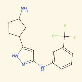 NC1CCC(c2cc(Nc3cccc(C(F)(F)F)c3)n[nH]2)C1